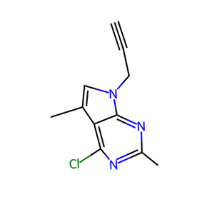 C#CCn1cc(C)c2c(Cl)nc(C)nc21